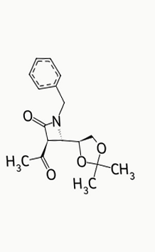 CC(=O)[C@H]1C(=O)N(Cc2ccccc2)[C@@H]1[C@H]1COC(C)(C)O1